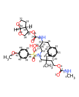 CNC(=O)OCCC(C)(C)CN(C[C@@H](O)[C@H](Cc1ccccc1)NC(=O)O[C@H]1CO[C@H]2OCC[C@H]21)S(=O)(=O)c1ccc(OC)cc1